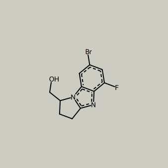 OCC1CCc2nc3c(F)cc(Br)cc3n21